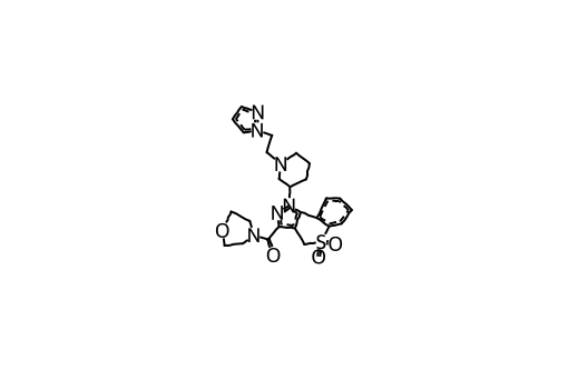 O=C(c1nn(C2CCCN(CCn3cccn3)C2)c2c1CS(=O)(=O)c1ccccc1-2)N1CCOCC1